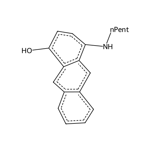 CCCCCNc1ccc(O)c2cc3ccccc3cc12